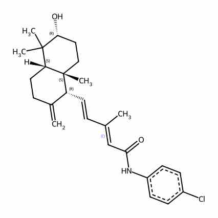 C=C1CC[C@@H]2C(C)(C)[C@H](O)CC[C@]2(C)[C@@H]1C=C/C(C)=C/C(=O)Nc1ccc(Cl)cc1